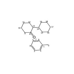 Cc1ccccc1.O=C1CCCCC1C1CCCCC1